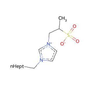 CCCCCCCCn1cc[n+](CC(C)S(=O)(=O)[O-])c1